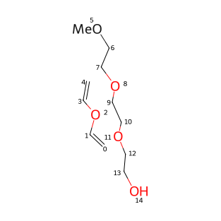 C=COC=C.COCCOCCOCCO